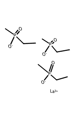 CCP(C)(=O)[O-].CCP(C)(=O)[O-].CCP(C)(=O)[O-].[La+3]